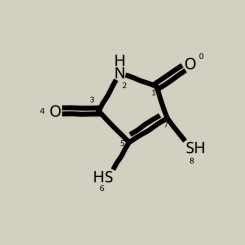 O=C1NC(=O)C(S)=C1S